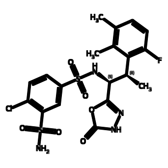 Cc1ccc(F)c([C@@H](C)[C@H](NS(=O)(=O)c2ccc(Cl)c(S(N)(=O)=O)c2)c2n[nH]c(=O)o2)c1C